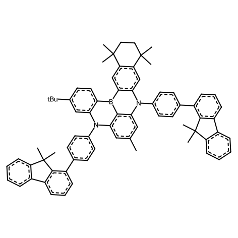 Cc1cc2c3c(c1)N(c1ccc(-c4cccc5c4C(C)(C)c4ccccc4-5)cc1)c1cc4c(cc1B3c1ccc(C(C)(C)C)cc1N2c1ccc(-c2cccc3c2C(C)(C)c2ccccc2-3)cc1)C(C)(C)CCC4(C)C